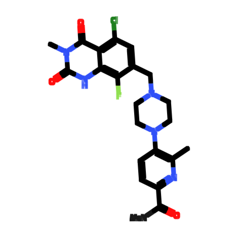 CNC(=O)c1ccc(N2CCN(Cc3cc(Cl)c4c(=O)n(C)c(=O)[nH]c4c3F)CC2)c(C)n1